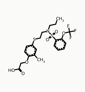 CCCN(CCSc1ccc(OCC(=O)O)c(C)c1)S(=O)(=O)c1ccccc1OC(F)(F)F